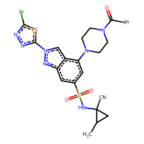 CC(C)C(=O)N1CCN(c2cc(S(=O)(=O)NC3(C#N)CC3C)cc3nn(-c4nnc(Br)s4)cc23)CC1